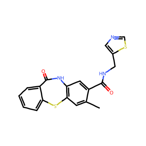 Cc1cc2c(cc1C(=O)NCc1cncs1)NC(=O)c1ccccc1S2